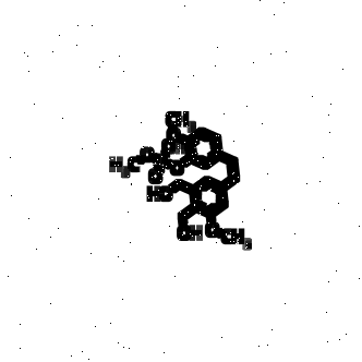 COc1ccc(/C=C\c2cc(CO)c(CO)c(OC)c2)cc1OP(=O)(O)OC